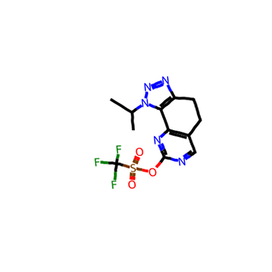 CC(C)n1nnc2c1-c1nc(OS(=O)(=O)C(F)(F)F)ncc1CC2